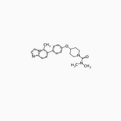 Cc1c(-c2ccc(OC3CCN(C(=O)N(C)C)CC3)cc2)ccc2nccn12